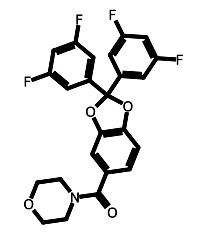 O=C(c1ccc2c(c1)OC(c1cc(F)cc(F)c1)(c1cc(F)cc(F)c1)O2)N1CCOCC1